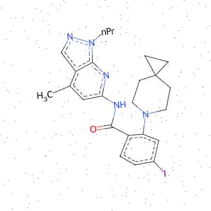 CCCn1ncc2c(C)cc(NC(=O)c3ccc(I)cc3N3CCC4(CC3)CC4)nc21